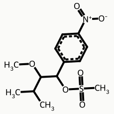 COC(C(C)C)C(OS(C)(=O)=O)c1ccc([N+](=O)[O-])cc1